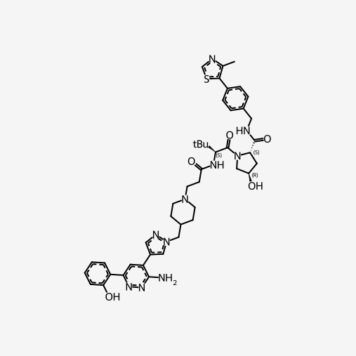 Cc1ncsc1-c1ccc(CNC(=O)[C@@H]2C[C@@H](O)CN2C(=O)[C@@H](NC(=O)CCN2CCC(Cn3cc(-c4cc(-c5ccccc5O)nnc4N)cn3)CC2)C(C)(C)C)cc1